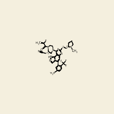 C=C(F)C(=O)N1CCN(c2nc(OC[C@@H]3CCCN3C)nc3cc(-c4cc(N)ccc4C(F)(F)F)c4cn[nH]c4c23)C[C@@H]1CC#N